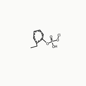 CCc1ccccc1OP(=O)(O)OCl